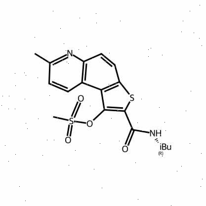 CC[C@@H](C)NC(=O)c1sc2ccc3nc(C)ccc3c2c1OS(C)(=O)=O